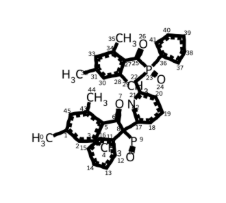 Cc1cc(C)c(C(=O)C(P=O)(c2ccccc2)c2cccc(CP(=O)(C(=O)c3c(C)cc(C)cc3C)c3ccccc3)n2)c(C)c1